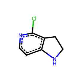 Clc1nccc2c1CCN2